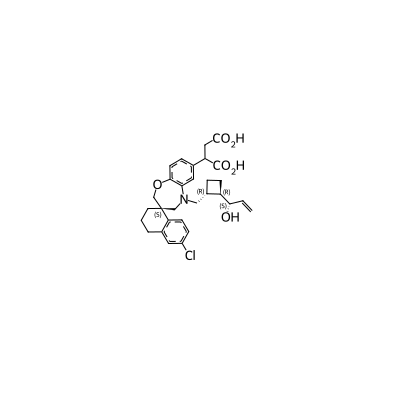 C=C[C@H](O)[C@@H]1CC[C@H]1CN1C[C@@]2(CCCc3cc(Cl)ccc32)COc2ccc(C(CC(=O)O)C(=O)O)cc21